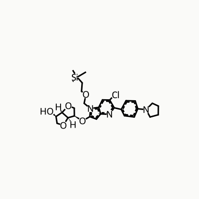 C[Si](C)(C)CCOCn1c(O[C@@H]2CO[C@H]3[C@@H]2OC[C@H]3O)cc2nc(-c3ccc(N4CCCC4)cc3)c(Cl)cc21